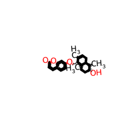 CC1=CCC2[C@@H](C)[C@H](O)CC[C@@]2(C)[C@@H]1COc1ccc2ccc(=O)oc2c1